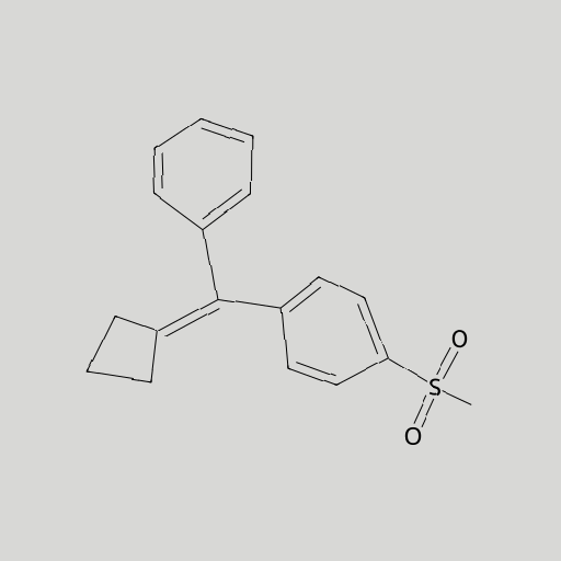 CS(=O)(=O)c1ccc(C(=C2CCC2)c2ccccc2)cc1